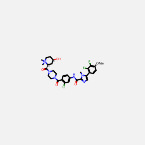 COc1ccc(-c2cnc(C(=O)Nc3ccc(C(=O)N4CCN(C(=O)[C@@H]5C[C@H](O)CC[N+]5(C)C)CC4)c(Cl)c3)n2C)c(F)c1F